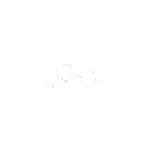 Nc1ccnc(N2CCNCC2)c1